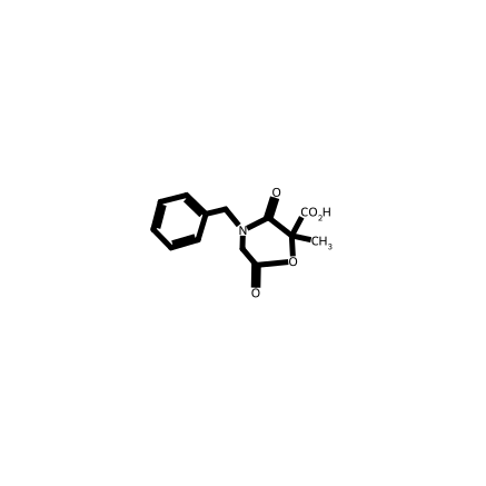 CC1(C(=O)O)OC(=O)CN(Cc2ccccc2)C1=O